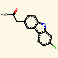 COC(=O)Cc1ccc2[nH]c3cc(Cl)ccc3c2c1